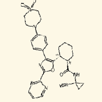 N#CC1(NC(=O)[C@@H]2CCCC[C@H]2c2oc(-c3ncccn3)nc2-c2ccc(N3CCS(=O)(=O)CC3)cc2)CC1